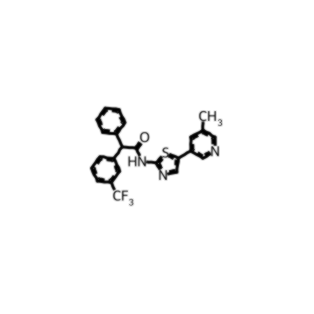 Cc1cncc(-c2cnc(NC(=O)C(c3ccccc3)c3cccc(C(F)(F)F)c3)s2)c1